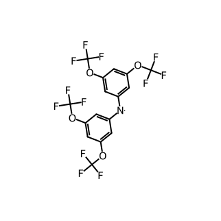 FC(F)(F)Oc1cc([N]c2cc(OC(F)(F)F)cc(OC(F)(F)F)c2)cc(OC(F)(F)F)c1